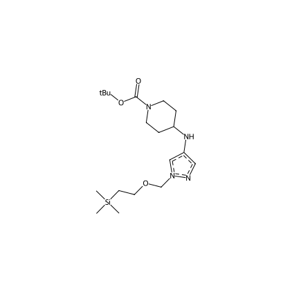 CC(C)(C)OC(=O)N1CCC(Nc2cnn(COCC[Si](C)(C)C)c2)CC1